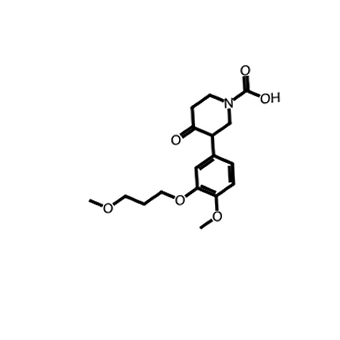 COCCCOc1cc(C2CN(C(=O)O)CCC2=O)ccc1OC